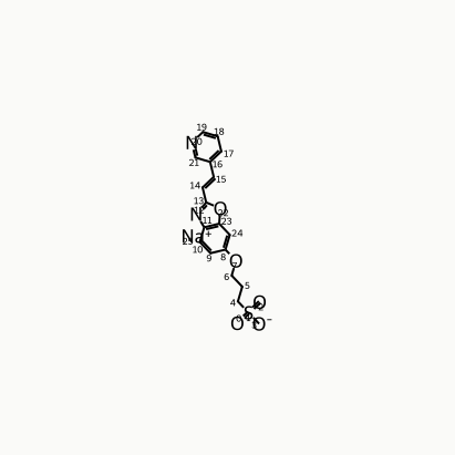 O=S(=O)([O-])CCCOc1ccc2nc(C=Cc3cccnc3)oc2c1.[Na+]